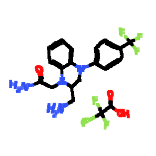 NCC1CN(c2ccc(C(F)(F)F)cc2)c2ccccc2N1CC(N)=O.O=C(O)C(F)(F)F